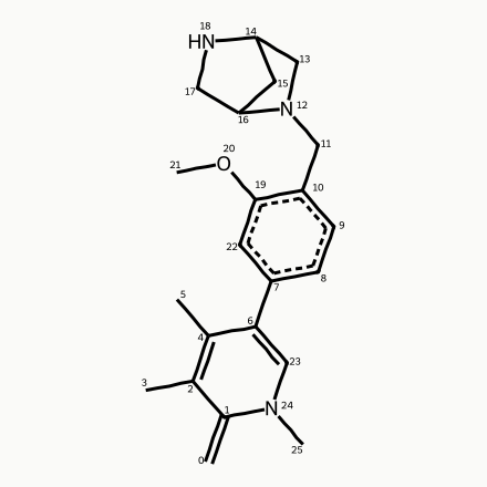 C=C1C(C)=C(C)C(c2ccc(CN3CC4CC3CN4)c(OC)c2)=CN1C